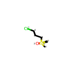 C=S(C)(=O)CCCCl